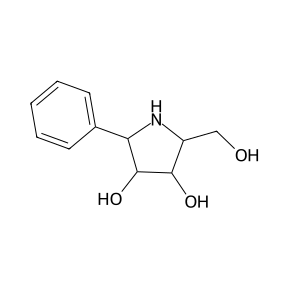 OCC1NC(c2ccccc2)C(O)C1O